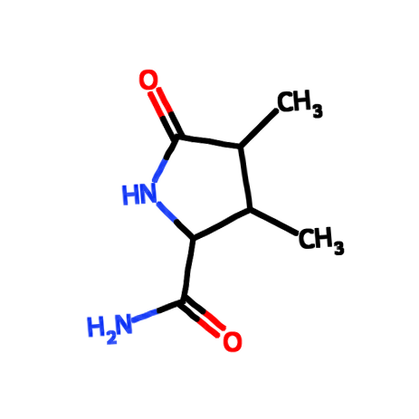 CC1C(=O)NC(C(N)=O)C1C